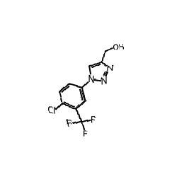 OCc1cn(-c2ccc(Cl)c(C(F)(F)F)c2)nn1